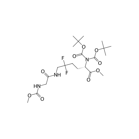 COC(=O)NCC(=O)NCC(F)(F)CC[C@@H](C(=O)OC)N(C(=O)OC(C)(C)C)C(=O)OC(C)(C)C